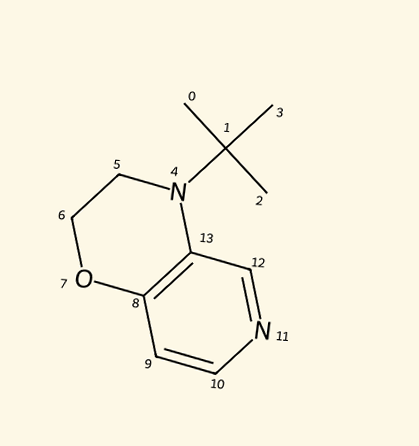 CC(C)(C)N1CCOc2ccncc21